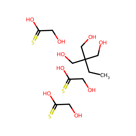 CCC(CO)(CO)CO.OCC(O)=S.OCC(O)=S.OCC(O)=S